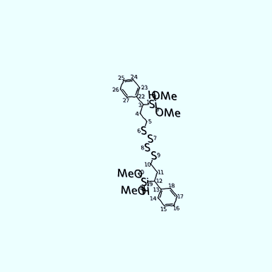 CO[SiH](OC)C(CCSSSSCCC(c1ccccc1)[SiH](OC)OC)c1ccccc1